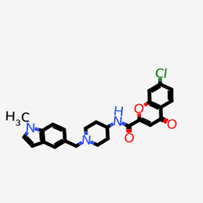 Cn1ccc2cc(CN3CCC(NC(=O)c4cc(=O)c5ccc(Cl)cc5o4)CC3)ccc21